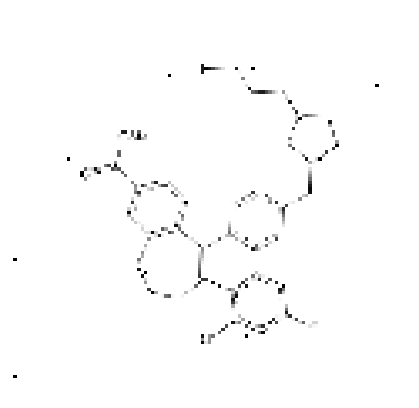 COC(=O)c1ccc2c(c1)CCCC(c1ccc(F)cc1Cl)=C2c1ccc(CC2CCN(CCCF)C2)cc1